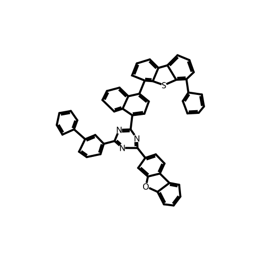 c1ccc(-c2cccc(-c3nc(-c4ccc5c(c4)oc4ccccc45)nc(-c4ccc(-c5cccc6c5sc5c(-c7ccccc7)cccc56)c5ccccc45)n3)c2)cc1